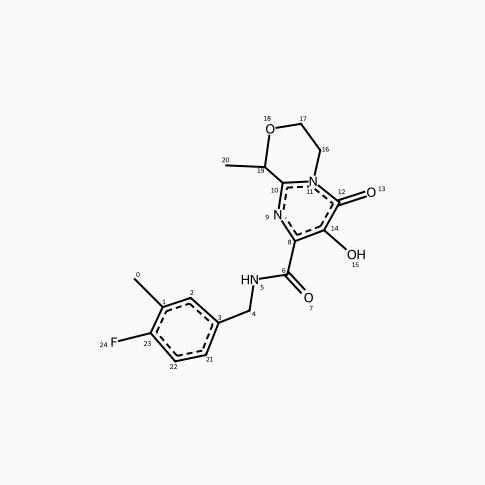 Cc1cc(CNC(=O)c2nc3n(c(=O)c2O)CCOC3C)ccc1F